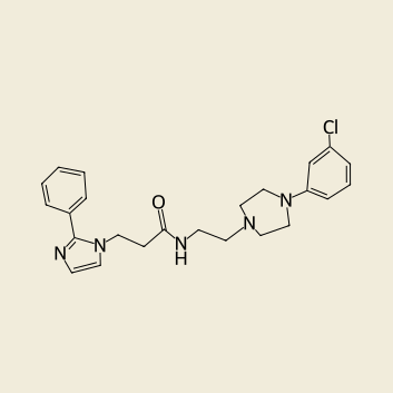 O=C(CCn1ccnc1-c1ccccc1)NCCN1CCN(c2cccc(Cl)c2)CC1